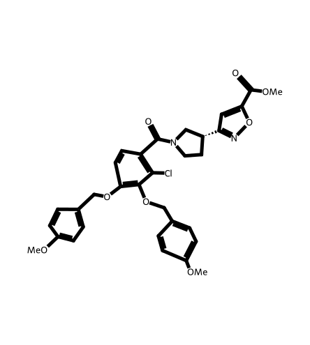 COC(=O)c1cc([C@@H]2CCN(C(=O)c3ccc(OCc4ccc(OC)cc4)c(OCc4ccc(OC)cc4)c3Cl)C2)no1